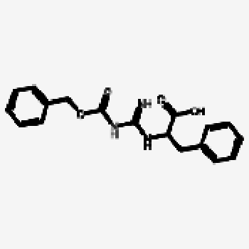 N=C(NC(=O)OCc1ccccc1)NC(Cc1ccccc1)C(=O)O